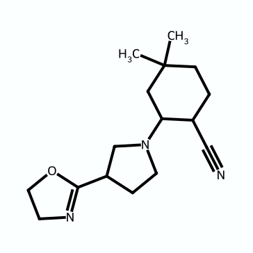 CC1(C)CCC(C#N)C(N2CCC(C3=NCCO3)C2)C1